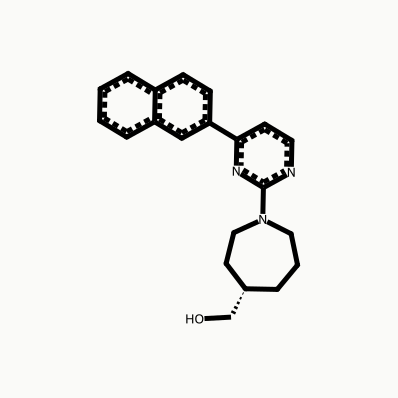 OC[C@H]1CCCN(c2nccc(-c3ccc4ccccc4c3)n2)CC1